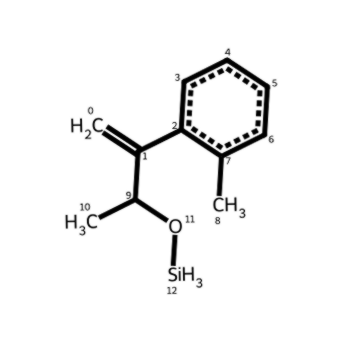 C=C(c1ccccc1C)C(C)O[SiH3]